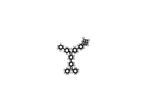 c1ccc(-c2ccc(N(c3ccc(-c4ccc(N(c5ccccc5)c5ccccc5)cc4)cc3)c3ccc(-c4ccc(C56CC7CC8CC(C5)C876)cc4)cc3)cc2)cc1